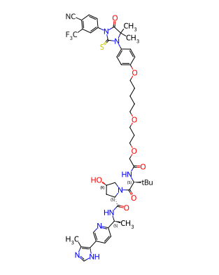 Cc1nc[nH]c1-c1ccc([C@H](C)NC(=O)[C@@H]2C[C@@H](O)CN2C(=O)[C@@H](NC(=O)COCCCOCCCCCOc2ccc(N3C(=S)N(c4ccc(C#N)c(C(F)(F)F)c4)C(=O)C3(C)C)cc2)C(C)(C)C)nc1